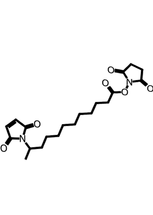 CC(CCCCCCCCCC(=O)ON1C(=O)CCC1=O)N1C(=O)C=CC1=O